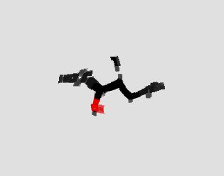 CCCCCCC(O)C(=O)O.[Ti]